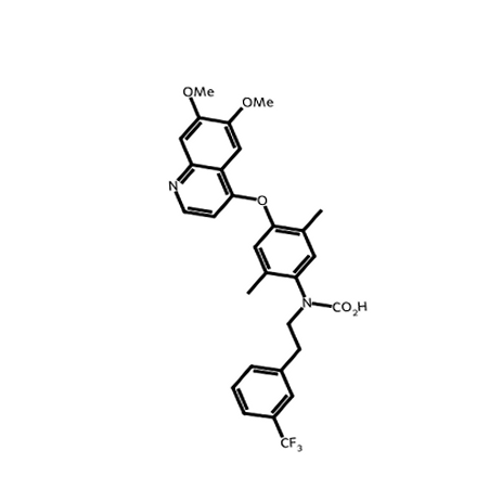 COc1cc2nccc(Oc3cc(C)c(N(CCc4cccc(C(F)(F)F)c4)C(=O)O)cc3C)c2cc1OC